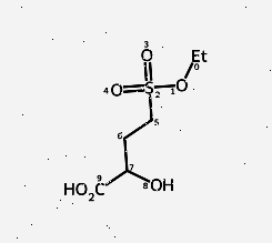 CCOS(=O)(=O)CCC(O)C(=O)O